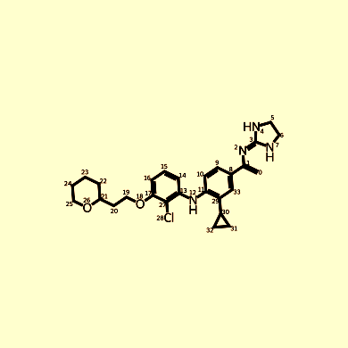 C=C(N=C1NCCN1)c1ccc(Nc2cccc(OCCC3CCCCO3)c2Cl)c(C2CC2)c1